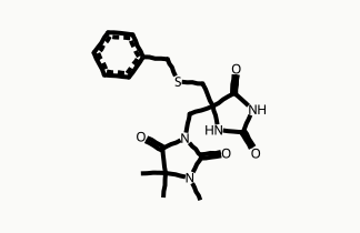 CN1C(=O)N(CC2(CSCc3ccccc3)NC(=O)NC2=O)C(=O)C1(C)C